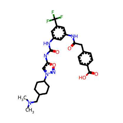 CN(C)CC1CCC([n+]2cc([N-]C(=O)Nc3cc(NC(=O)Cc4ccc(C(=O)O)cc4)cc(C(F)(F)F)c3)on2)CC1